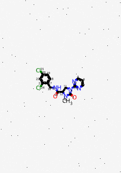 CN1C(=O)N(c2ncccn2)CC1C(=O)NCc1ccc(Cl)cc1Cl